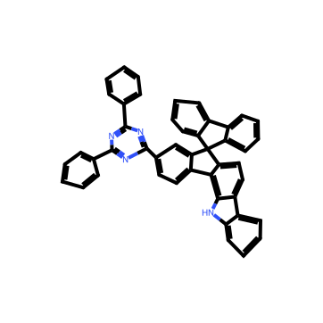 c1ccc(-c2nc(-c3ccccc3)nc(-c3ccc4c(c3)C3(c5ccccc5-c5ccccc53)c3ccc5c([nH]c6ccccc65)c3-4)n2)cc1